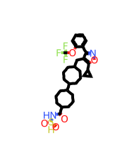 O=C(N[SH](=O)=O)C1CCCC(C2CCCC(Cc3c(-c4ccccc4OC(F)(F)F)noc3C3CC3)CCC2)CCC1